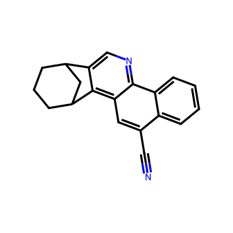 N#Cc1cc2c3c(cnc2c2ccccc12)C1CCCC3C1